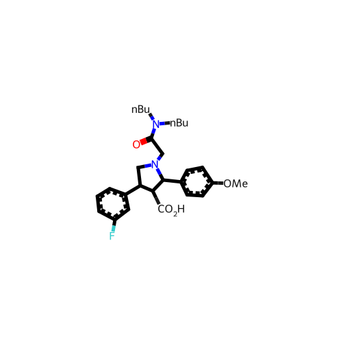 CCCCN(CCCC)C(=O)CN1CC(c2cccc(F)c2)C(C(=O)O)C1c1ccc(OC)cc1